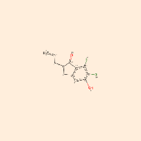 C=CCC1Cc2cc(O)c(Cl)c(Cl)c2C1=O